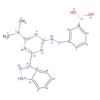 CN(C)c1nc(NCc2cccc(B(O)O)c2)nc(-c2n[nH]c3ccccc23)n1